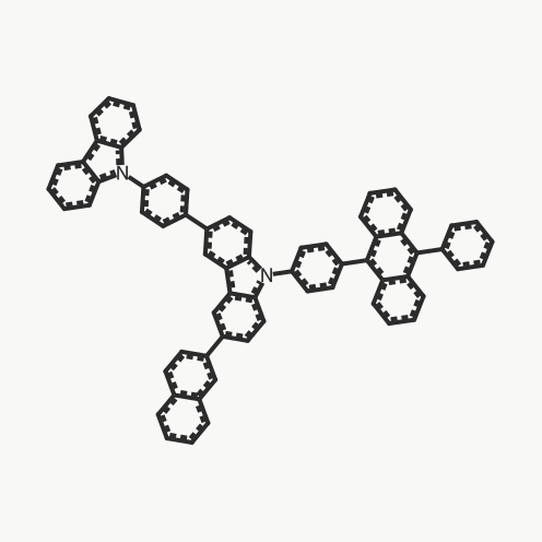 c1ccc(-c2c3ccccc3c(-c3ccc(-n4c5ccc(-c6ccc(-n7c8ccccc8c8ccccc87)cc6)cc5c5cc(-c6ccc7ccccc7c6)ccc54)cc3)c3ccccc23)cc1